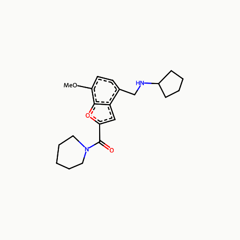 COc1ccc(CNC2CCCC2)c2cc(C(=O)N3CCCCC3)oc12